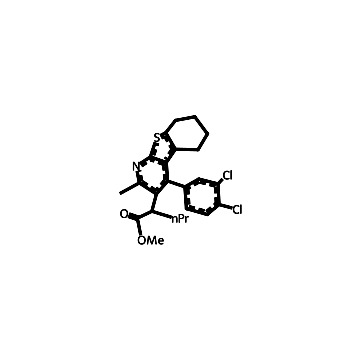 CCCC(C(=O)OC)c1c(C)nc2sc3c(c2c1-c1ccc(Cl)c(Cl)c1)CCCC3